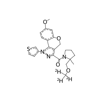 [2H]C([2H])([2H])OCC1(C)CCCN1C(=O)c1nn(-c2ccsc2)c2c1COc1cc(OC)ccc1-2